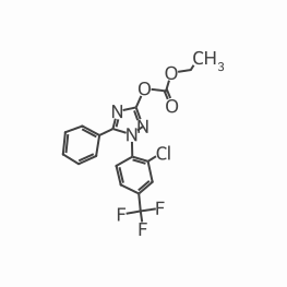 CCOC(=O)Oc1nc(-c2ccccc2)n(-c2ccc(C(F)(F)F)cc2Cl)n1